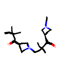 CN1CC(C(=O)C(C)(C)CN2CC(C(=O)C(C)(C)C)C2)C1